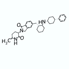 C=C1CCC(N2Cc3cc(C[C@H]4CCCC[C@@H]4N[C@H]4CC[C@@H](c5ccccc5)CC4)ccc3C2=O)C(=O)N1